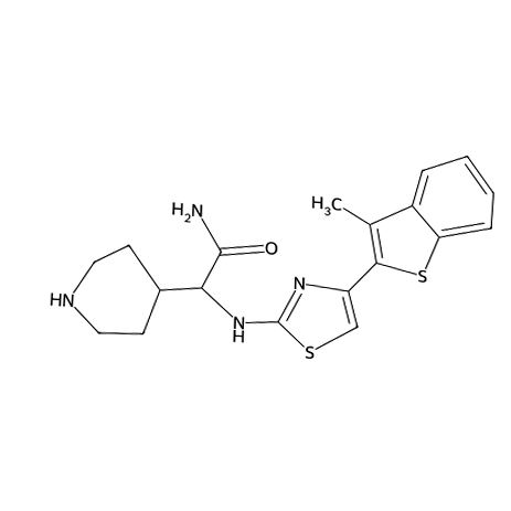 Cc1c(-c2csc(NC(C(N)=O)C3CCNCC3)n2)sc2ccccc12